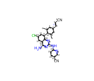 Cc1cc(/C=C/C#N)cc(C)c1-c1cc(Cl)cc2c(N)nc(Nc3ccc(C#N)cn3)nc12